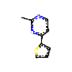 Cc1nc[c]c(-c2cccs2)n1